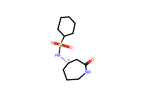 O=C1C[C@@H](NS(=O)(=O)C2CCCCC2)CCCN1